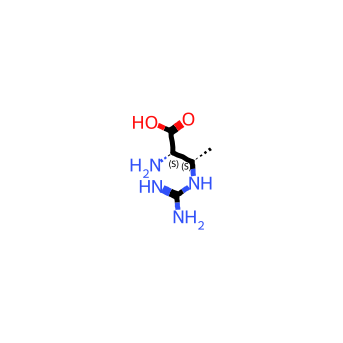 C[C@H](NC(=N)N)[C@H](N)C(=O)O